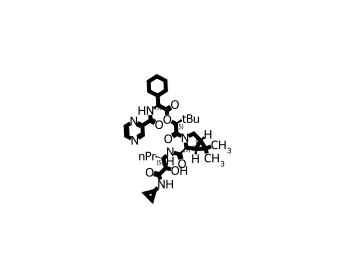 CCC[C@H](NC(=O)[C@@H]1[C@@H]2[C@H](CN1C(=O)[C@@H](OC(=O)[C@@H](NC(=O)c1cnccn1)C1CCCCC1)C(C)(C)C)C2(C)C)C(O)C(=O)NC1CC1